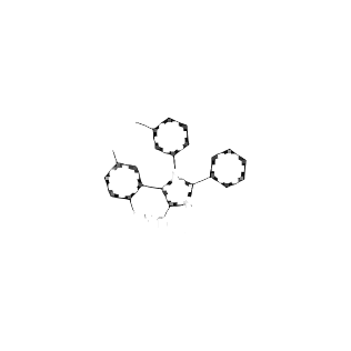 CCOC(=O)c1nc(-c2ccccc2)n(-c2cccc(Cl)c2)c1-c1cc(Cl)ccc1OC